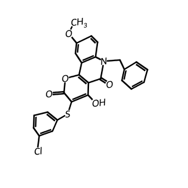 COc1ccc2c(c1)c1oc(=O)c(Sc3cccc(Cl)c3)c(O)c1c(=O)n2Cc1ccccc1